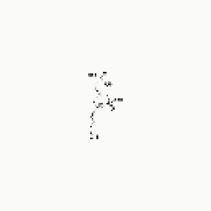 O=P(O)(O)CN(CCOCCO)CP(=O)(O)O